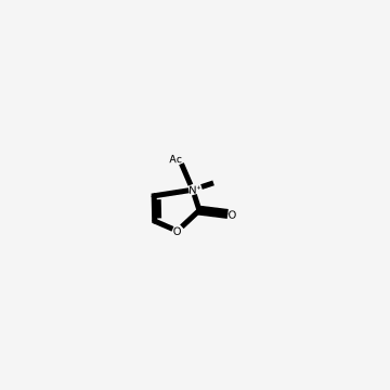 CC(=O)[N+]1(C)C=COC1=O